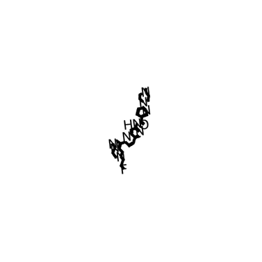 CN1CCN(c2ccc(C(=O)Nc3cc4nc(-c5cnn6c5CN(CCF)CC6)ccc4cn3)cn2)CC1